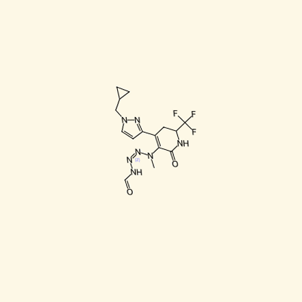 CN(/N=N\NC=O)C1=C(c2ccn(CC3CC3)n2)CC(C(F)(F)F)NC1=O